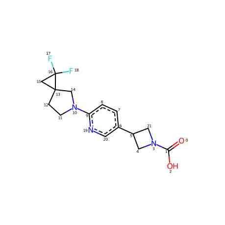 O=C(O)N1CC(c2ccc(N3CCC4(C3)CC4(F)F)nc2)C1